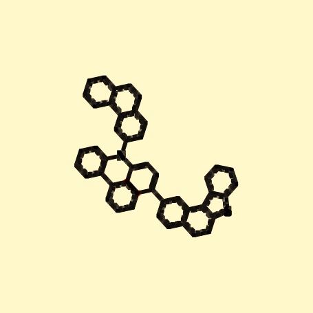 C1=C(c2ccc3ccc4sc5ccccc5c4c3c2)CCC(N(c2ccc3ccc4ccccc4c3c2)c2ccccc2-c2ccccc2)=C1